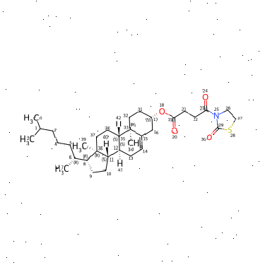 CC(C)CCC[C@@H](C)[C@H]1CC[C@H]2[C@@H]3CC=C4C[C@@H](OC(=O)CCC(=O)N5CCSC5=O)CC[C@]4(C)[C@H]3CC[C@]12C